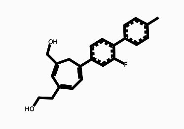 Cc1ccc(-c2ccc(C3=CC=C(CCO)C=C(CO)C3)cc2F)cc1